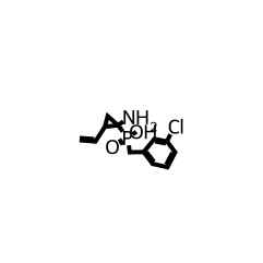 C=CC1CC1(N)P(=O)(O)Cc1cccc(Cl)c1